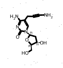 NC#CCc1cn([C@H]2C[C@H](O)[C@@H](CO)O2)c(=O)nc1N